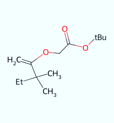 C=C(OCC(=O)OC(C)(C)C)C(C)(C)CC